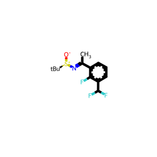 CC(=N[S@+]([O-])C(C)(C)C)c1cccc(C(F)F)c1F